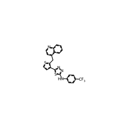 FC(F)(F)c1ccc(Nc2nnc(-c3ccsc3Cc3ccnc4ccccc34)s2)cc1